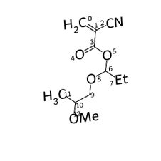 C=C(C#N)C(=O)OC(CC)OCC(C)OC